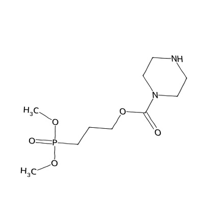 COP(=O)(CCCOC(=O)N1CCNCC1)OC